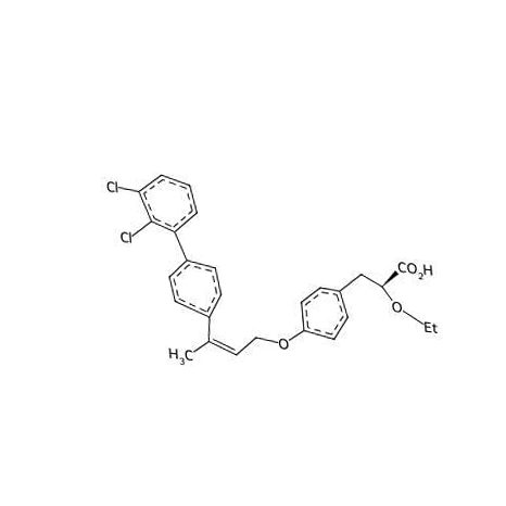 CCO[C@@H](Cc1ccc(OC/C=C(/C)c2ccc(-c3cccc(Cl)c3Cl)cc2)cc1)C(=O)O